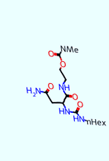 CCCCCCNC(=O)NC(CC(N)=O)C(=O)NCCOC(=O)NC